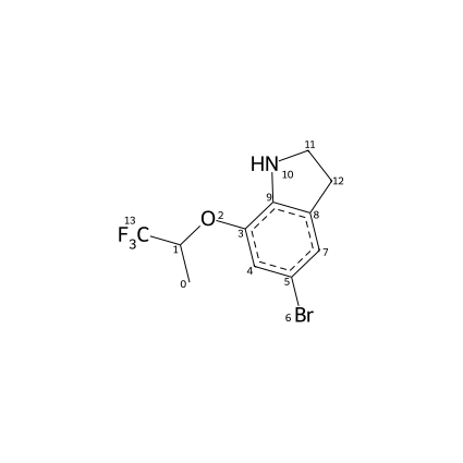 CC(Oc1cc(Br)cc2c1NCC2)C(F)(F)F